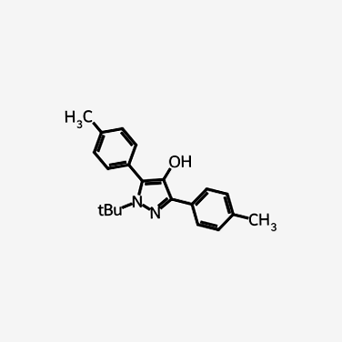 Cc1ccc(-c2nn(C(C)(C)C)c(-c3ccc(C)cc3)c2O)cc1